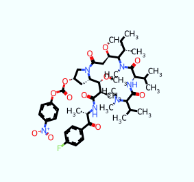 CC[C@H](C)C([C@@H](CC(=O)N1C[C@@H](OC(=O)Oc2ccc([N+](=O)[O-])cc2)C[C@H]1[C@H](OC)[C@@H](C)C(=O)N[C@@H](C)C(=O)c1ccc(F)cc1)OC)N(C)C(=O)[C@@H](NC(=O)C(C(C)C)N(C)C)C(C)C